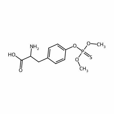 COP(=S)(OC)Oc1ccc(CC(N)C(=O)O)cc1